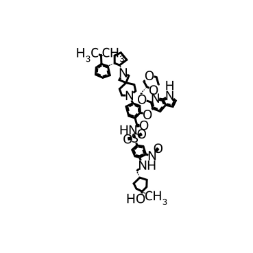 CC(C)c1ccccc1[C@@H]1CCC[C@@H]1N1CC2(CCN(c3ccc(C(=O)NS(=O)(=O)c4ccc(NC[C@H]5CC[C@](C)(O)CC5)c(N=O)c4)c(Oc4cc5cc[nH]c5nc4OC[C@@H]4COCCO4)c3)CC2)C1